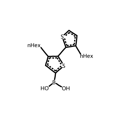 CCCCCCc1ccsc1-c1sc(B(O)O)cc1CCCCCC